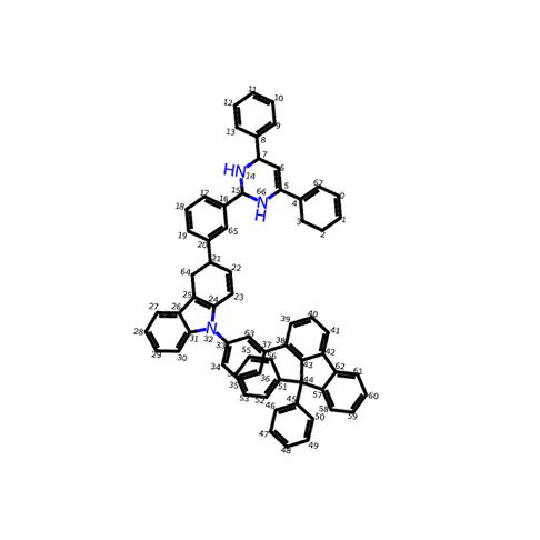 C1=CCCC(C2=CC(c3ccccc3)NC(c3cccc(C4C=Cc5c(c6ccccc6n5-c5cccc(-c6cccc7c6C(c6ccccc6)(c6ccccc6)c6ccccc6-7)c5)C4)c3)N2)=C1